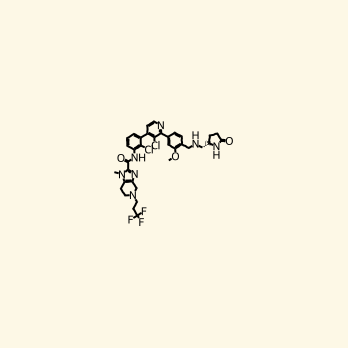 COc1cc(-c2nccc(-c3cccc(NC(=O)c4nc5c(n4C)CCN(CCC(F)(F)F)C5)c3Cl)c2Cl)ccc1CNC[C@@H]1CCC(=O)N1